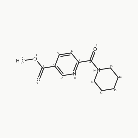 COC(=O)c1ccc(C(=O)N2CCCCC2)nc1